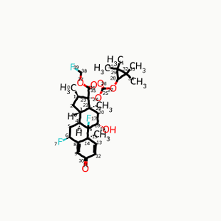 C[C@@H]1C[C@H]2[C@@H]3C[C@H](F)C4=CC(=O)C=C[C@]4(C)C3(F)[C@@H](O)C[C@]2(C)[C@]1(OC(=O)OC1C(C)(C)C1(C)C)C(=O)OCF